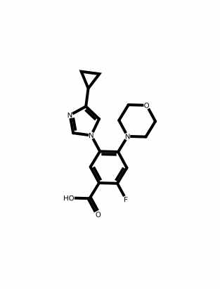 O=C(O)c1cc(-n2cnc(C3CC3)c2)c(N2CCOCC2)cc1F